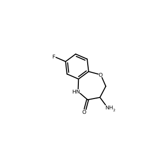 NC1COc2ccc(F)cc2NC1=O